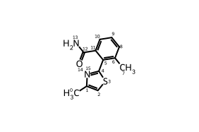 Cc1csc(-c2c(C)cccc2C(N)=O)n1